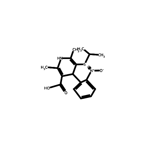 CC1=C(SC(C)C)C(c2ccccc2[N+](=O)[O-])C(C(=O)O)=C(C)N1